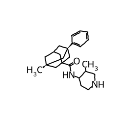 CC1CNCCC1NC(=O)C12CC3C[C@@](C)(C1)C[C@](c1ccccc1)(C3)C2